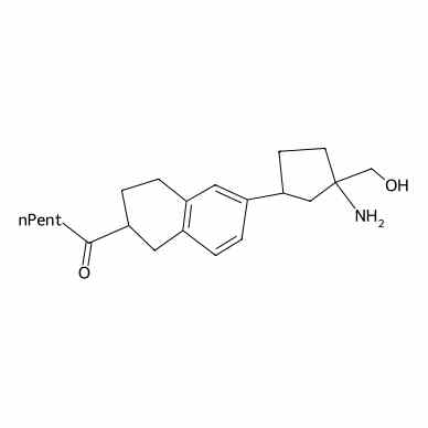 CCCCCC(=O)C1CCc2cc(C3CCC(N)(CO)C3)ccc2C1